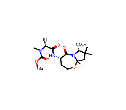 CC[C@@H](C(=O)N[C@H]1CCS[C@H]2CC(C)(C)[C@@H](C(=O)O)N2C1=O)N(C)C(=O)OC(C)(C)C